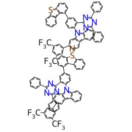 FC(F)(F)c1cc(-c2ccc3c(c2)c2ccccc2n3-c2ccc(-c3cccc4c3-c3ccccc3[SH]4c3cc4c5ccccc5n(-c5ccc(-c6cccc7sc8ccccc8c67)cc5-c5nc(-c6ccccc6)nc(-c6ccccc6)n5)c4cc3-c3cc(C(F)(F)F)cc(C(F)(F)F)c3)cc2-c2nc(-c3ccccc3)nc(-c3ccccc3)n2)cc(C(F)(F)F)c1